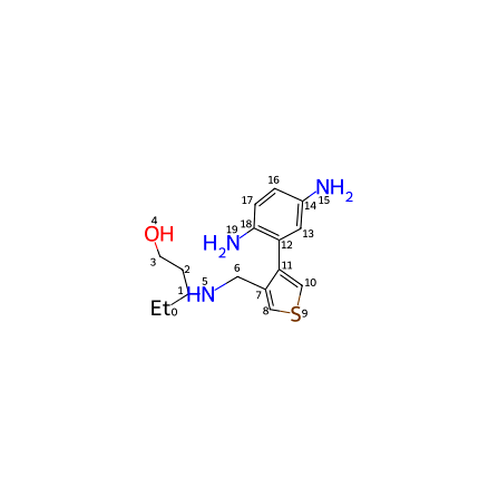 CCC(CCO)NCc1cscc1-c1cc(N)ccc1N